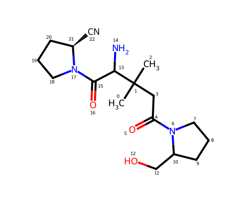 CC(C)(CC(=O)N1CCCC1CO)C(N)C(=O)N1CCC[C@H]1C#N